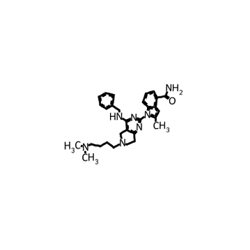 Cc1cc2c(C(N)=O)cccc2n1-c1nc2c(c(NCc3ccccc3)n1)CN(CCCCN(C)C)CC2